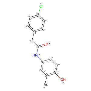 CC(=O)c1cc(NC(=O)Cc2ccc(Cl)cc2)ccc1O